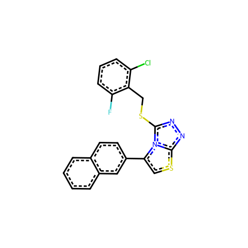 Fc1cccc(Cl)c1CSc1nnc2scc(-c3ccc4ccccc4c3)n12